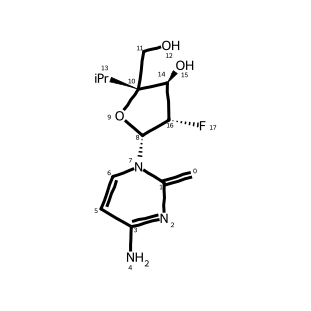 C=C1N=C(N)C=CN1[C@@H]1O[C@@](CO)(C(C)C)[C@@H](O)[C@@H]1F